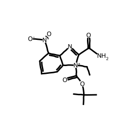 CC[N+]1(C(=O)OC(C)(C)C)C(C(N)=O)=Nc2c([N+](=O)[O-])cccc21